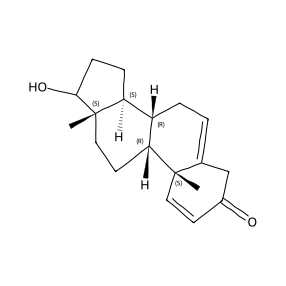 C[C@]12C=CC(=O)CC1=CC[C@@H]1[C@H]2CC[C@]2(C)C(O)CC[C@@H]12